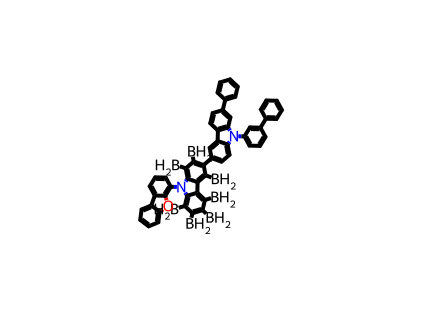 Bc1c(B)c(B)c2c(c1B)c1c(B)c(-c3ccc4c(c3)c3ccc(-c5ccccc5)cc3n4-c3cccc(-c4ccccc4)c3)c(B)c(B)c1n2-c1cccc2c1oc1ccccc12